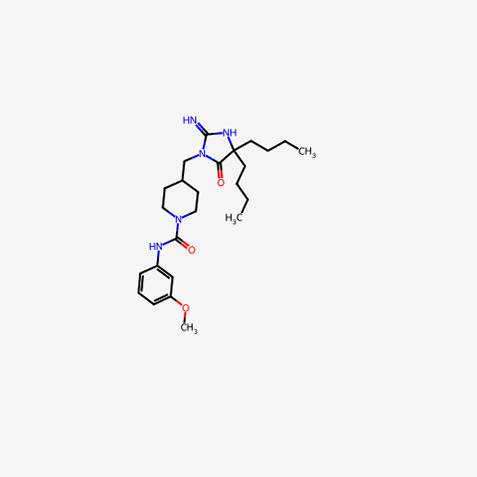 CCCCC1(CCCC)NC(=N)N(CC2CCN(C(=O)Nc3cccc(OC)c3)CC2)C1=O